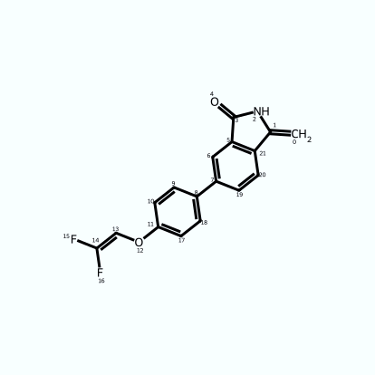 C=C1NC(=O)c2cc(-c3ccc(OC=C(F)F)cc3)ccc21